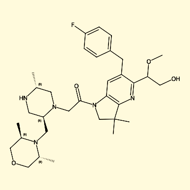 COC(CO)c1nc2c(cc1Cc1ccc(F)cc1)N(C(=O)CN1C[C@@H](C)NC[C@@H]1CN1[C@H](C)COC[C@H]1C)CC2(C)C